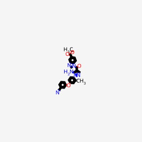 COC(=O)c1ccc2c(c1)ncn2C(=O)c1cnn(-c2ccc(Oc3cccc(C#N)c3)cc2C)c1N